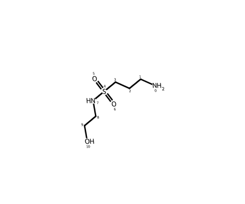 NCCCS(=O)(=O)NCCO